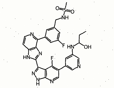 CCC(O)Nc1cncc(-c2cnc3[nH]nc(-c4nc5c(-c6cc(F)cc(CNS(C)(=O)=O)c6)nccc5[nH]4)c3c2F)c1